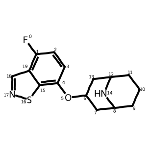 Fc1ccc(OC2CC3CCCC(C2)N3)c2sncc12